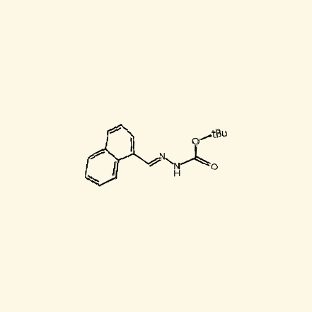 CC(C)(C)OC(=O)NN=Cc1cccc2ccccc12